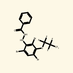 O=C(NNc1c(Br)cc(Br)c(SC(F)(F)C(F)(F)C(F)(F)F)c1Br)c1ccccc1